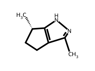 Cc1n[nH]c2c1CC[C@@H]2C